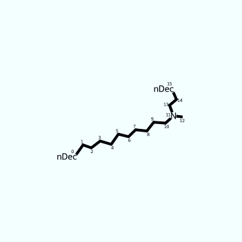 CCCCCCCCCCCCCCCCCCCCN(C)CCCCCCCCCCCC